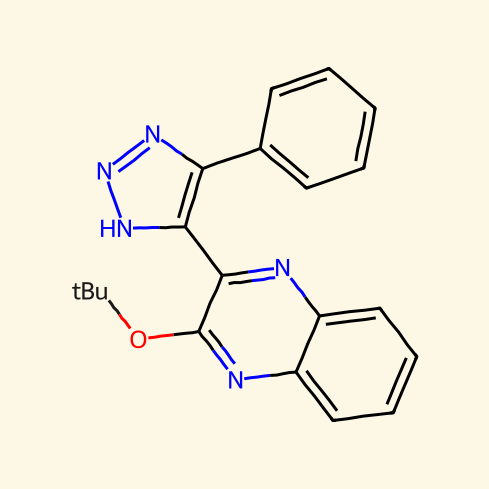 CC(C)(C)Oc1nc2ccccc2nc1-c1[nH]nnc1-c1ccccc1